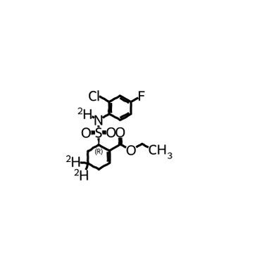 [2H]N(c1ccc(F)cc1Cl)S(=O)(=O)[C@@H]1CC([2H])([2H])CC=C1C(=O)OCC